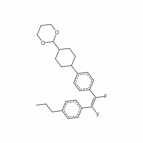 CCCc1ccc(/C(F)=C(/F)c2ccc(C3CCC(C4OCCCO4)CC3)cc2)cc1